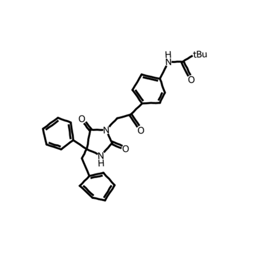 CC(C)(C)C(=O)Nc1ccc(C(=O)CN2C(=O)NC(Cc3ccccc3)(c3ccccc3)C2=O)cc1